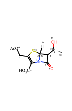 CC(=O)OCC1=C(C(=O)O)N2C(=O)C([C@@H](C)O)[C@H]2S1